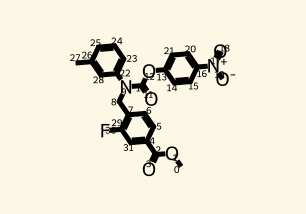 COC(=O)c1ccc(CN(C(=O)Oc2ccc([N+](=O)[O-])cc2)c2cccc(C)c2)c(F)c1